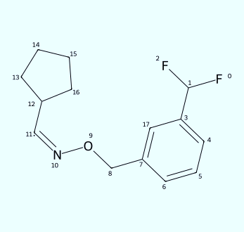 FC(F)c1cccc(CO/N=[C]\C2CCCC2)c1